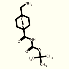 CC(C)(C)OC(=O)NC(=O)C12CCC(CN)(CC1)CC2